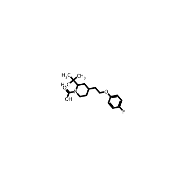 CC(C)(C)C1CC(CCOc2ccc(F)cc2)CCN1C(=O)O